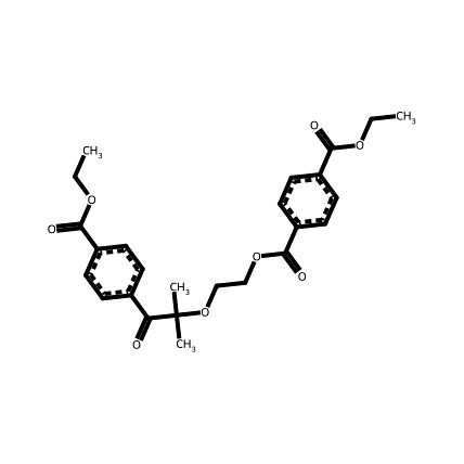 CCOC(=O)c1ccc(C(=O)OCCOC(C)(C)C(=O)c2ccc(C(=O)OCC)cc2)cc1